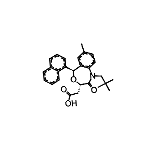 Cc1ccc2c(c1)[C@H](c1cccc3ccccc13)O[C@@H](CC(=O)O)C(=O)N2CC(C)(C)C